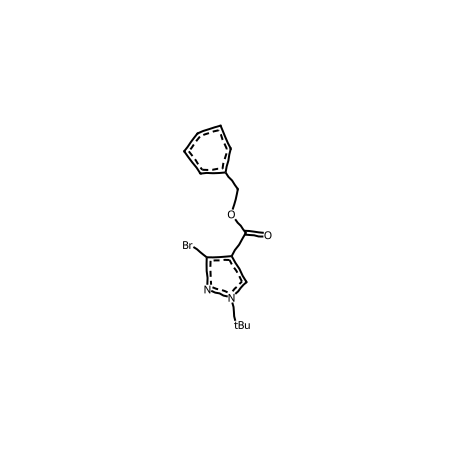 CC(C)(C)n1cc(C(=O)OCc2ccccc2)c(Br)n1